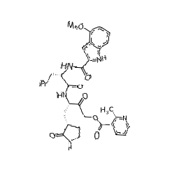 COc1cccc2[nH]c(C(=O)N[C@@H](CC(C)C)C(=O)N[C@@H](C[C@@H]3CCNC3=O)C(=O)COC(=O)c3cccnc3C)cc12